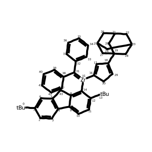 CC(C)(C)c1ccc2c(c1)Cc1c-2ccc(C(C)(C)C)[c]1[Zr]([C]1=CC(C23CC4CC(CC(C4)C2)C3)=CC1)=[C](c1ccccc1)c1ccccc1